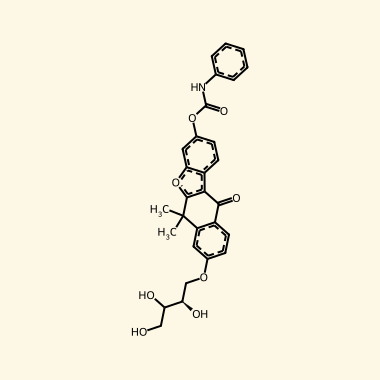 CC1(C)c2cc(OC[C@@H](O)C(O)CO)ccc2C(=O)c2c1oc1cc(OC(=O)Nc3ccccc3)ccc21